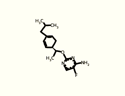 CC(C)CC1=CC[C@@H](C(C)Oc2ncc(F)c(N)n2)C=C1